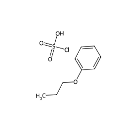 CCCOc1ccccc1.O=S(=O)(O)Cl